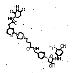 CC(O)(COc1ccc(CNC(=O)CCCN2CCN(c3cc(CC(=O)NC4CCC(=O)NC4=O)ccn3)CC2)cc1)C(=O)Nc1ccc(C#N)c(C(F)(F)F)c1